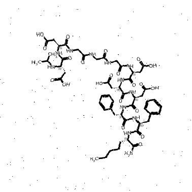 CCCCC[C@H](NC(=O)[C@H](Cc1ccccc1)NC(=O)[C@H](Cc1ccccc1)NC(=O)[C@H](CC(=O)O)NC(=O)[C@H](CC(=O)O)NC(=O)[C@H](CC(=O)O)NC(=O)CNC(=O)CNC(=O)CNC(=O)[C@H](CC(=O)O)NC(=O)[C@H](CC(=O)O)NC(C)C)C(N)=O